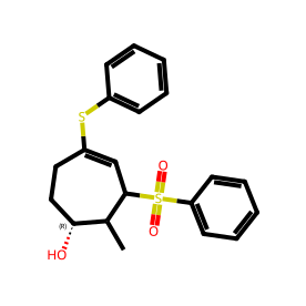 CC1C(S(=O)(=O)c2ccccc2)C=C(Sc2ccccc2)CC[C@H]1O